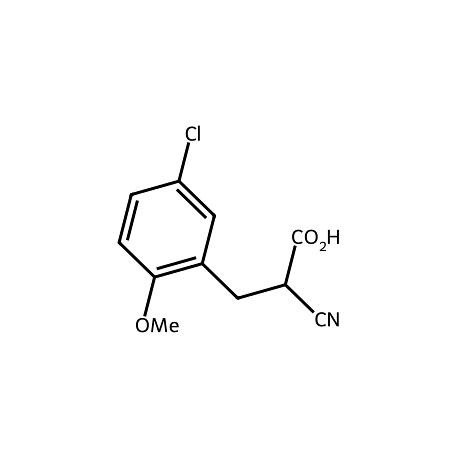 COc1ccc(Cl)cc1CC(C#N)C(=O)O